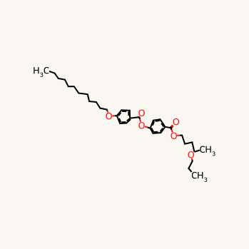 CCCCCCCCCCCCOc1ccc(C(=O)Oc2ccc(C(=O)OCCCC(C)OCCC)cc2)cc1